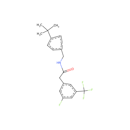 CC(C)(C)c1ccc(CNC(=O)Cc2cc(F)cc(C(F)(F)F)c2)cc1